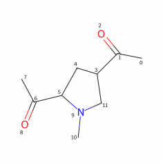 CC(=O)C1CC(C(C)=O)N(C)C1